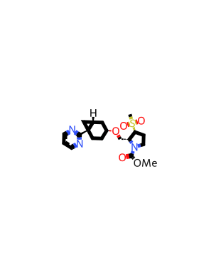 COC(=O)N1CC[C@H](S(C)(=O)=O)[C@H]1CO[C@@H]1CC[C@]2(c3ncccn3)C[C@@H]2C1